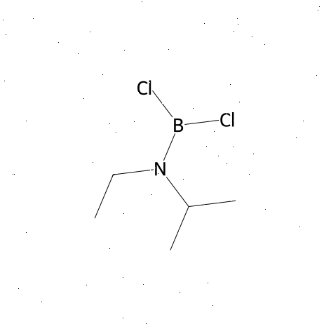 CCN(B(Cl)Cl)C(C)C